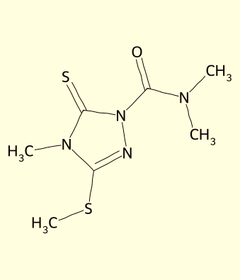 CSc1nn(C(=O)N(C)C)c(=S)n1C